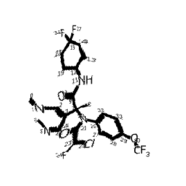 C=N/C=C(\C=N/C)[C@](C)(C(=O)NC1CCC(F)(F)CC1)N(C(=O)[C@H](F)Cl)c1ccc(OC(F)(F)F)cc1